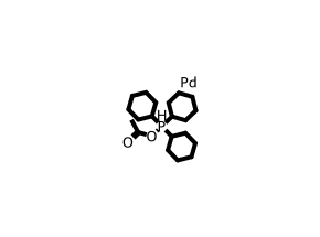 CC(=O)O[PH](C1CCCCC1)(C1CCCCC1)C1CCCCC1.[Pd]